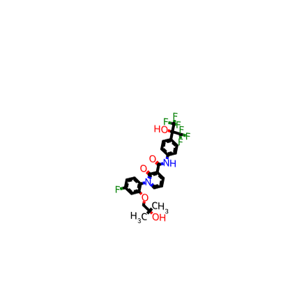 CC(C)(O)COc1cc(F)ccc1-n1cccc(C(=O)Nc2ccc(C(O)(C(F)(F)F)C(F)(F)F)cc2)c1=O